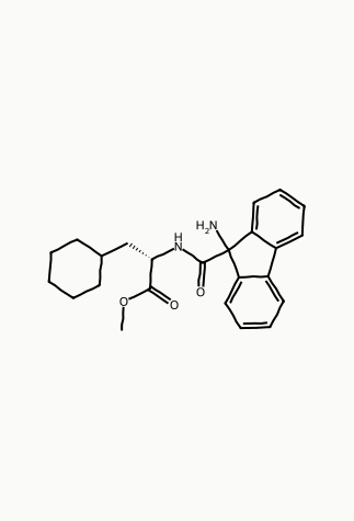 COC(=O)[C@H](CC1CCCCC1)NC(=O)C1(N)c2ccccc2-c2ccccc21